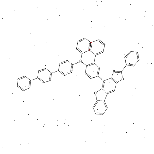 c1ccc(-c2ccc(-c3ccc(N(c4ccccc4)c4ccc(-c5c6nc(-c7ccccc7)oc6cc6c5oc5ccccc56)cc4-c4ccccc4)cc3)cc2)cc1